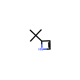 CC(C)(C)C1C=CN1